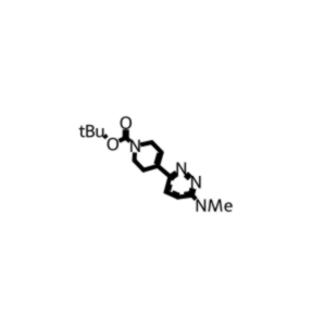 CNc1ccc(C2=CCN(C(=O)OC(C)(C)C)CC2)nn1